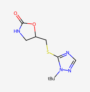 CC(C)(C)n1ncnc1SCC1CNC(=O)O1